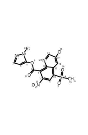 CCn1nccc1OC(=O)c1c([N+](=O)[O-])cc(S(C)(=O)=O)c2cc(Cl)cnc12